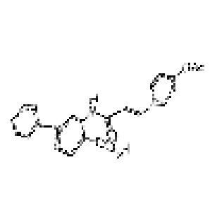 CC(=O)Oc1ccc(/C=C/C(=O)Nc2cc(-c3ccccc3)ccc2C(=O)O)cc1